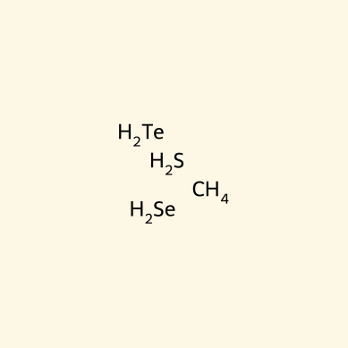 C.S.[SeH2].[TeH2]